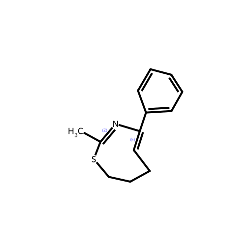 C/C1=N/C(c2ccccc2)=C/CCCS1